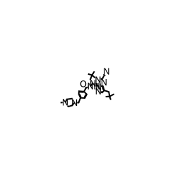 CN1CCN(Cc2ccc(C(=O)NN(CC(C)(C)C)c3nc(C#N)nc4c(CC(C)(C)C)cnn34)cc2)CC1